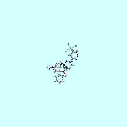 CC(C)(C)[C@](OC(N)=O)(C(=O)N1CCN(c2cccc(C(F)(F)F)c2)CC1)c1ccccc1